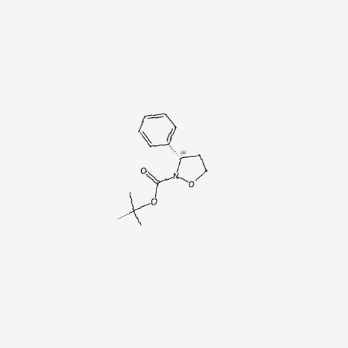 CC(C)(C)OC(=O)N1OCC[C@H]1c1ccccc1